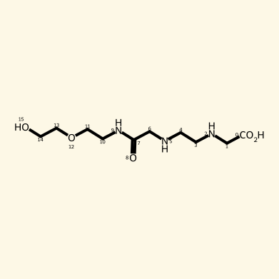 O=C(O)CNCCNCC(=O)NCCOCCO